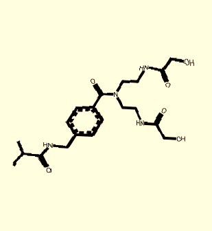 CC(C)C(=O)NCc1ccc(C(=O)N(CCNC(=O)CO)CCNC(=O)CO)cc1